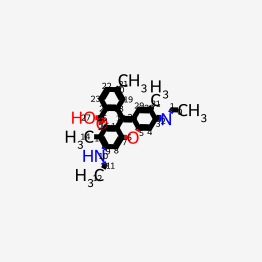 CC/N=c1/cc2oc3cc(NCC)c(C)cc3c(-c3cc(C)ccc3C(=O)O)c-2cc1C